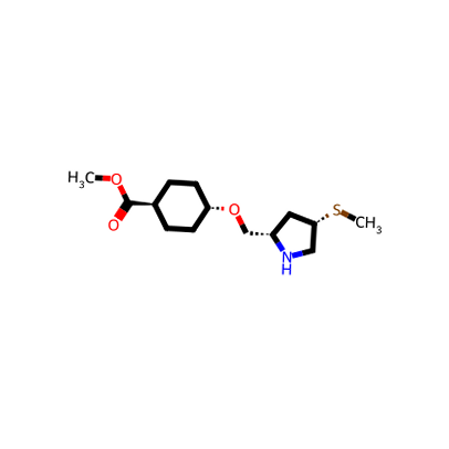 COC(=O)[C@H]1CC[C@H](OC[C@@H]2C[C@H](SC)CN2)CC1